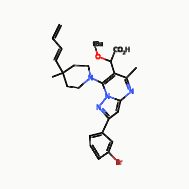 C=CC=CC1(C)CCN(c2c(C(OC(C)(C)C)C(=O)O)c(C)nc3cc(-c4cccc(Br)c4)nn23)CC1